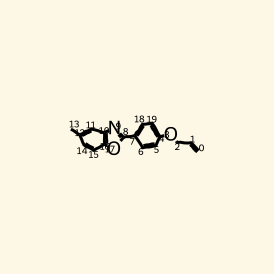 C=CCOc1ccc(-c2nc3cc(C)ccc3o2)cc1